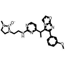 COc1cccc(-c2nc3occn3c2C(C)c2ccnc(NCCN3CCN(C)[S+]3[O-])n2)c1